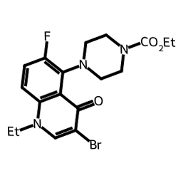 CCOC(=O)N1CCN(c2c(F)ccc3c2c(=O)c(Br)cn3CC)CC1